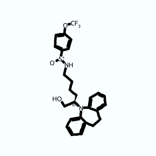 [O-][S+](NCCCC[C@H](CO)N1c2ccccc2CCc2ccccc21)c1ccc(OC(F)(F)F)cc1